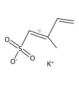 C=C/C(C)=C/S(=O)(=O)[O-].[K+]